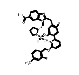 Cc1ccc(COc2cccc(-c3cc(F)c(Cc4nc5ccc(C(=O)O)cc5n4C[C@H]4CCCN4S(C)(=O)=O)cc3F)n2)c(F)c1